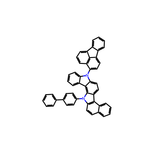 c1ccc(-c2ccc(-n3c4ccc5ccccc5c4c4ccc5c(c6ccccc6n5-c5ccc6c7c(cccc57)-c5ccccc5-6)c43)cc2)cc1